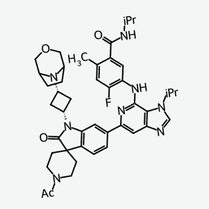 CC(=O)N1CCC2(CC1)C(=O)N([C@H]1C[C@@H](N3C4CCC3COC4)C1)c1cc(-c3cc4ncn(C(C)C)c4c(Nc4cc(C(=O)NC(C)C)c(C)cc4F)n3)ccc12